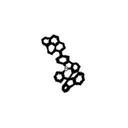 C1=C(c2ccc3c(c2)-c2cccc4c2B3c2ccccc2C42c3ccccc3-c3ccccc32)C2=CCc3cccc4ccc(c2c34)C1